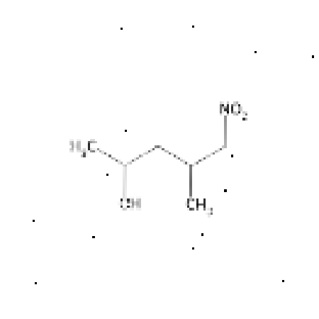 CC(O)CC(C)C[N+](=O)[O-]